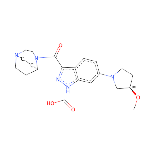 CO[C@@H]1CCN(c2ccc3c(C(=O)N4CCN5CCC4CC5)n[nH]c3c2)C1.O=CO